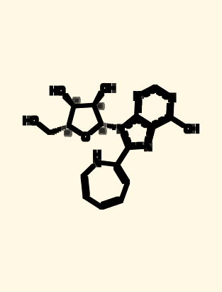 OC[C@H]1O[C@@H](n2c(C3=CC=CC=CN3)nc3c(O)ncnc32)[C@H](O)[C@@H]1O